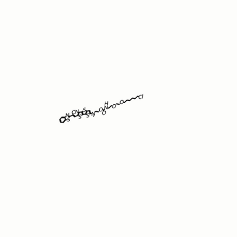 CN(CCOC(=O)NCCOCCOCCCCCCCl)c1cc2sc3cc(/C=C(\C#N)c4nc5ccccc5s4)sc3c2s1